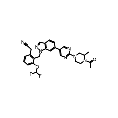 CC(=O)N1CCN(c2ncc(-c3ccc4cnn(Cc5c(CC#N)cccc5OC(F)F)c4c3)cn2)CC1C